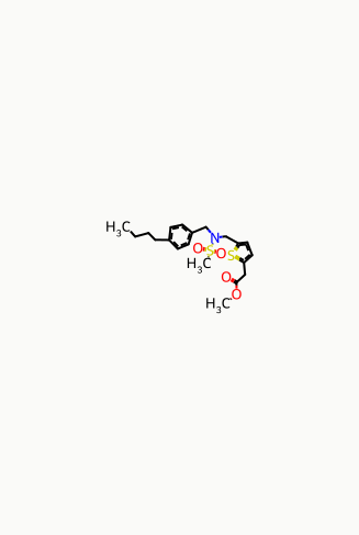 CCCCc1ccc(CN(Cc2ccc(CC(=O)OC)s2)S(C)(=O)=O)cc1